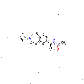 CC(=O)NC(C)c1ccc2c(c1)CCN(C1=CC=C1)CC2